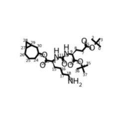 CC(C)(C)OC(=O)CC[C@H](NC(=O)N[C@@H](CCCCN)C(=O)OC1CCCC2CC2C1)C(=O)OC(C)(C)C